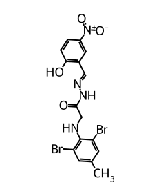 Cc1cc(Br)c(NCC(=O)N/N=C/c2cc([N+](=O)[O-])ccc2O)c(Br)c1